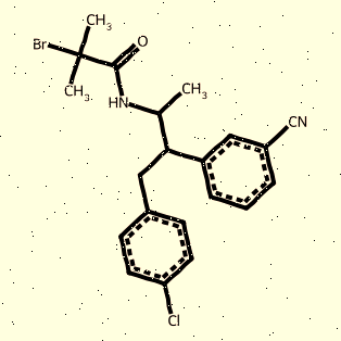 CC(NC(=O)C(C)(C)Br)C(Cc1ccc(Cl)cc1)c1cccc(C#N)c1